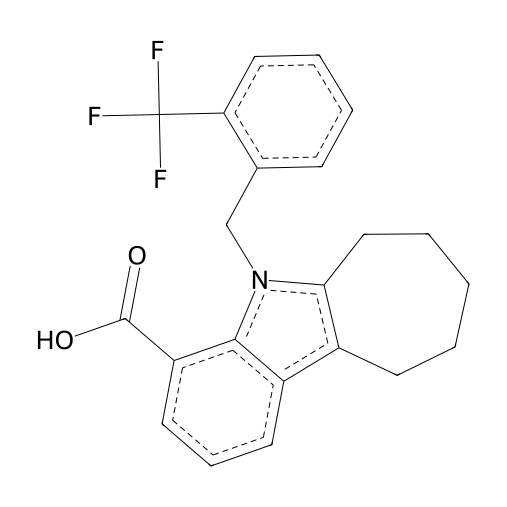 O=C(O)c1cccc2c3c(n(Cc4ccccc4C(F)(F)F)c12)CCCCC3